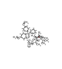 [3H][C@H]1CC(O[Si](O[Si](OC)(C(C)C)C(C)C)(C(C)C)C(C)C)[C@@H](COC(c2ccccc2)(c2ccc(OC)cc2)c2ccc(OC)cc2)O1